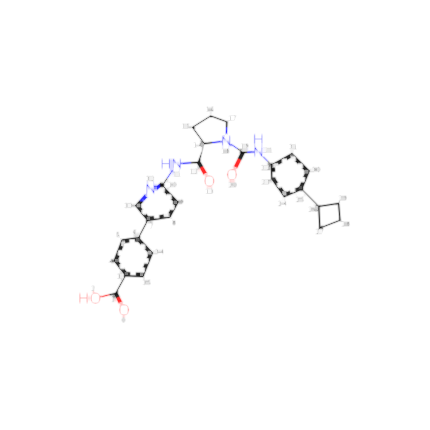 O=C(O)c1ccc(-c2ccc(NC(=O)[C@H]3CCCN3C(=O)Nc3ccc(C4CCC4)cc3)nc2)cc1